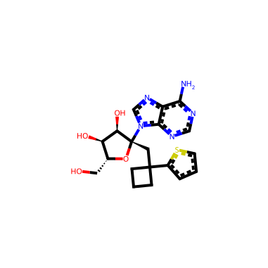 Nc1ncnc2c1ncn2[C@]1(CC2(c3cccs3)CCC2)O[C@H](CO)[C@@H](O)[C@H]1O